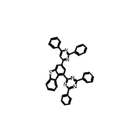 c1ccc(-c2cc(-c3cc(-c4nc(-c5ccccc5)nc(-c5ccccc5)n4)c4c(c3)sc3ccccc34)nc(-c3ccccc3)n2)cc1